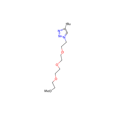 COCCOCCOCCOCCn1cc(C(C)(C)C)nn1